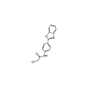 O=C(CCl)Nc1ccc(-c2nc3ccccc3o2)cc1